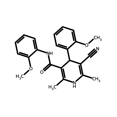 COc1ccccc1NC(=O)C1=C(C)NC(C)=C(C#N)C1c1ccccc1OC